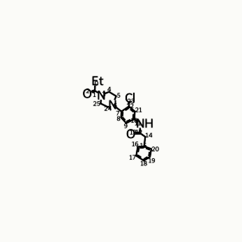 CCC(=O)N1CCN(c2ccc(NC(=O)Cc3ccccc3)cc2Cl)CC1